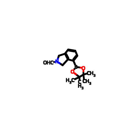 CC1(C)OB(c2cccc3c2CN(C=O)C3)OC1(C)C